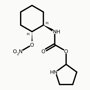 O=C(N[C@@H]1CCCC[C@H]1O[N+](=O)[O-])OC1CCCN1